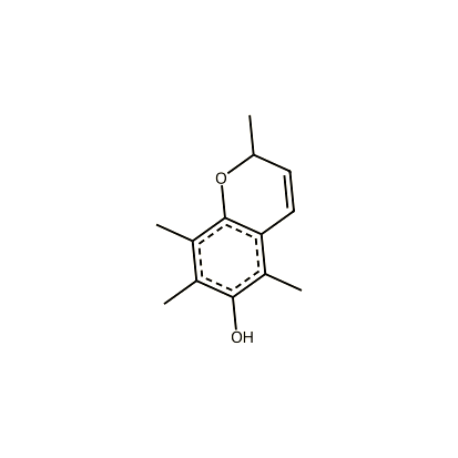 Cc1c(C)c2c(c(C)c1O)C=CC(C)O2